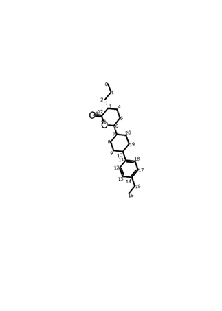 CCC[C@@H]1CC[C@@H](C2CCC(c3ccc(CC)cc3)CC2)OC1=O